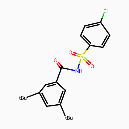 CC(C)(C)c1cc(C(=O)NS(=O)(=O)c2ccc(Cl)cc2)cc(C(C)(C)C)c1